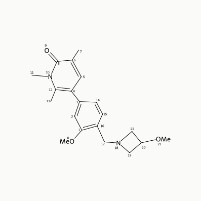 COc1cc(-c2cc(C)c(=O)n(C)c2C)ccc1CN1CC(OC)C1